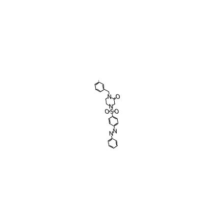 O=C1CN(S(=O)(=O)c2ccc(N=Nc3ccccc3)cc2)CCN1Cc1c[c]ccc1